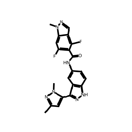 Cc1cc(-c2n[nH]c3ccc(NC(=O)c4c(F)cc5c(cnn5C)c4F)cc23)n(C)n1